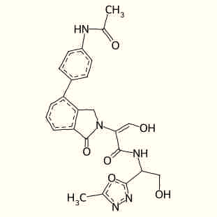 CC(=O)Nc1ccc(-c2cccc3c2CN(C(=CO)C(=O)NC(CO)c2nnc(C)o2)C3=O)cc1